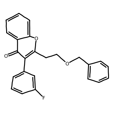 O=c1c(-c2cccc(F)c2)c(CCOCc2ccccc2)oc2ccccc12